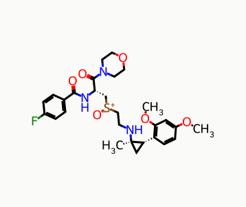 COc1ccc([C@@H]2C[C@@]2(C)NCC[S+]([O-])C[C@H](NC(=O)c2ccc(F)cc2)C(=O)N2CCOCC2)c(OC)c1